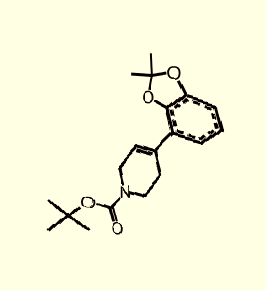 CC(C)(C)OC(=O)N1CC=C(c2cccc3c2OC(C)(C)O3)CC1